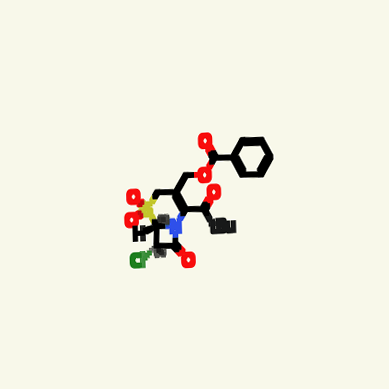 CC(C)(C)C(=O)C1=C(COC(=O)c2ccccc2)CS(=O)(=O)[C@H]2[C@@H](Cl)C(=O)N12